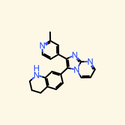 Cc1cc(-c2nc3ncccn3c2-c2ccc3c(c2)NCCC3)ccn1